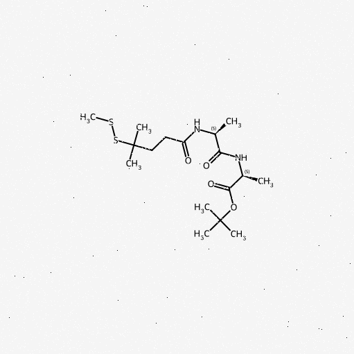 CSSC(C)(C)CCC(=O)N[C@@H](C)C(=O)N[C@@H](C)C(=O)OC(C)(C)C